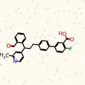 Cc1cc(C(CCc2ccc(-c3ccc(F)c(C(=O)O)c3)cc2)c2ccccc2C=O)ccn1